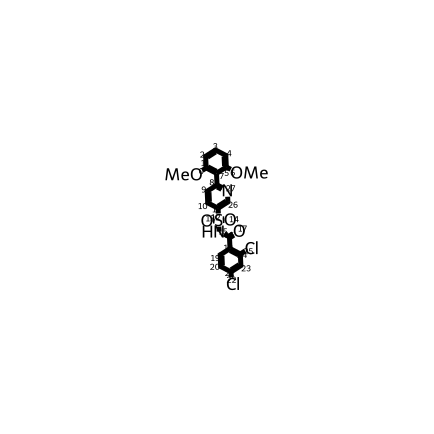 COc1cccc(OC)c1-c1ccc(S(=O)(=O)NC(=O)c2ccc(Cl)cc2Cl)cn1